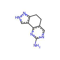 Nc1ncc2c(n1)-c1c[nH]nc1CC2